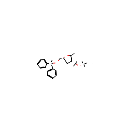 CC(=O)OC1O[C@H](CO[Si](c2ccccc2)(c2ccccc2)C(C)(C)C)C[C@H]1C(C)(C)O[Si](C)(C)C